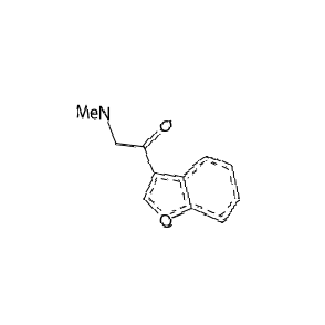 CNCC(=O)c1coc2ccccc12